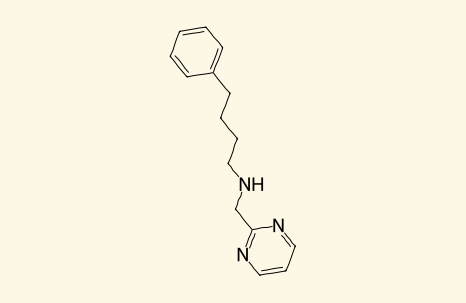 c1ccc(CCCCNCc2ncccn2)cc1